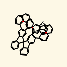 c1ccc(-c2cc3c(cc2N(c2ccccc2)c2ccccc2)C2(c4ccccc4-3)c3ccccc3-c3cc(-c4ccccc4)c(N(c4ccccc4)c4ccc5c(c4)sc4ccccc45)cc32)cc1